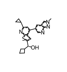 Cn1cc2cc(-c3cc(C4CC4)nc4sc([C@@H](O)C5CCC5)cc34)cnc2n1